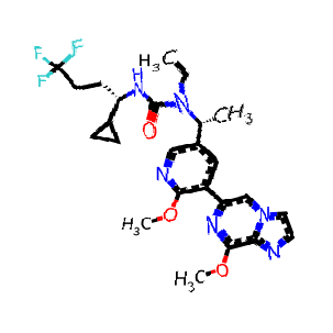 CCN(C(=O)N[C@@H](CCC(F)(F)F)C1CC1)[C@H](C)c1cnc(OC)c(-c2cn3ccnc3c(OC)n2)c1